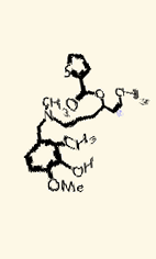 C/C=C\C(CCCN(C)Cc1ccc(OC)c(O)c1C)OC(=O)c1cccs1